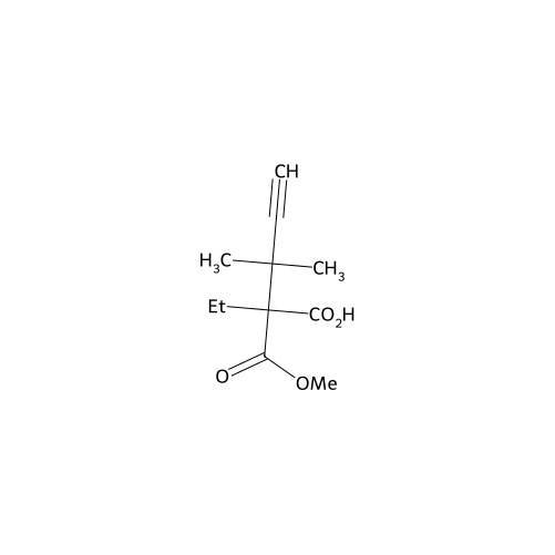 C#CC(C)(C)C(CC)(C(=O)O)C(=O)OC